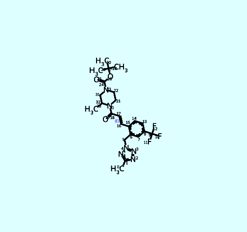 Cc1nnn(Cc2cc(C(F)(F)F)ccc2/C=C/C(=O)N2CCN(C(=O)OC(C)(C)C)CC2C)n1